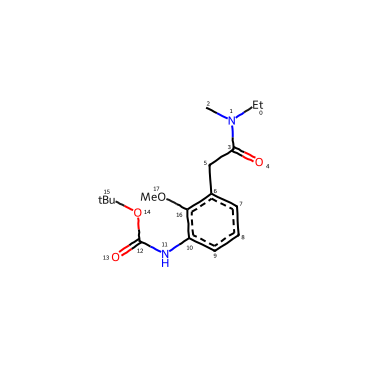 CCN(C)C(=O)Cc1cccc(NC(=O)OC(C)(C)C)c1OC